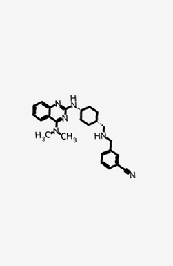 CN(C)c1nc(N[C@H]2CC[C@@H](CNCc3cccc(C#N)c3)CC2)nc2ccccc12